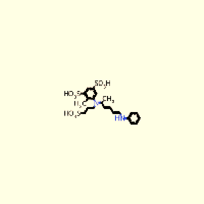 CC(/C=C/C=C/Nc1ccccc1)=[N+](/CCCS(=O)(=O)O)c1cc(S(=O)(=O)O)cc(S(=O)(=O)O)c1C